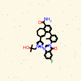 Cc1c(-c2ccc(C(N)=O)c3c2C=C(c2cnn(CC(C)(C)O)c2)CCC3)cccc1-n1cnc2ccc(F)cc2c1=O